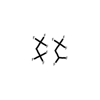 FC(F)(F)CC(F)(F)F.FC(F)CC(F)(F)F